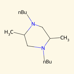 CCCCN1CC(C)N(CCCC)CC1C